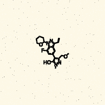 C=Cc1nn(C2CCCCO2)c2c(F)cc(-c3c(COC)nn(C)c3O)cc12